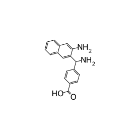 Nc1cc2ccccc2cc1C(N)c1ccc(C(=O)O)cc1